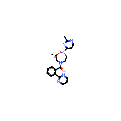 Cc1nccc(N2CCN(C(=O)c3ccccc3-c3ncccn3)C[C@H](C)O2)n1